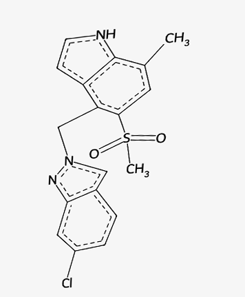 Cc1cc(S(C)(=O)=O)c(Cn2cc3ccc(Cl)cc3n2)c2cc[nH]c12